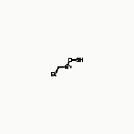 CCC[N+]OS